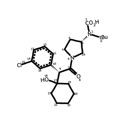 CC(C)(C)N(C(=O)O)[C@H]1CCN(C(=O)[C@@H](c2cccc(Cl)c2)C2(O)CCCCC2)C1